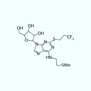 CSCCNc1nc(SCCC(F)(F)F)nc2c1ncn2C1OC(CO)C(O)C1O